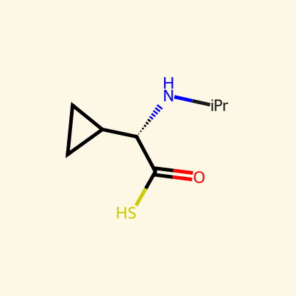 CC(C)N[C@H](C(=O)S)C1CC1